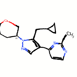 Cc1nccc(-c2cnn([C@H]3CCOC3)c2CC2CC2)n1